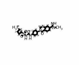 CNC(=N)c1ccc2c(=O)n(-c3ccc(NC(=O)NS(=O)(=O)c4ccc(C)s4)cc3)cnc2c1